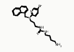 NCCCCNC(=S)NCCCN(Cc1cccc2ccccc12)c1ccc(Br)cn1